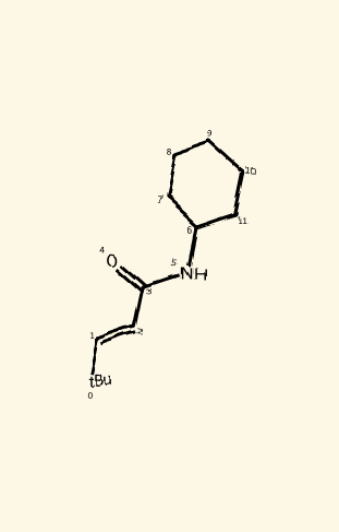 CC(C)(C)/C=C/C(=O)NC1CCCCC1